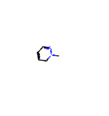 CN1[C]C=CC=N1